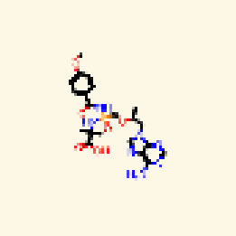 COc1ccc(C(=O)NP(=O)(COC(C)Cn2cnc3c(N)ncnc32)NC(C)(C)C(=O)O)cc1